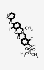 C[C@H]1c2ccc(Oc3cccnn3)c(F)c2OC(=O)N1Cc1cccc(NS(=O)(=O)N(C)C)c1F